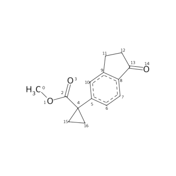 COC(=O)C1(c2ccc3c(c2)CCC3=O)CC1